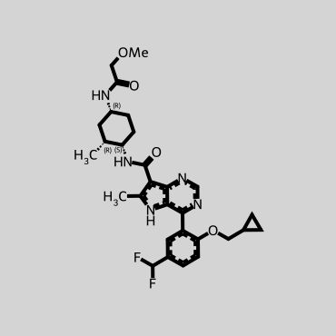 COCC(=O)N[C@@H]1CC[C@H](NC(=O)c2c(C)[nH]c3c(-c4cc(C(F)F)ccc4OCC4CC4)ncnc23)[C@H](C)C1